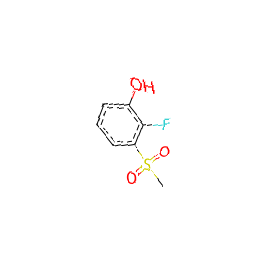 CS(=O)(=O)c1cccc(O)c1F